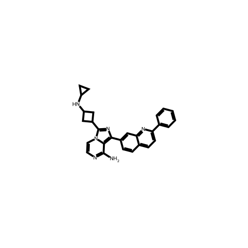 Nc1nccn2c(C3CC(NC4CC4)C3)nc(-c3ccc4ccc(-c5ccccc5)nc4c3)c12